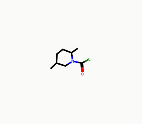 CC1CCC(C)N(C(=O)Cl)C1